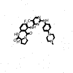 CN1CCN(c2ccc(Nc3ncc(C(F)(F)F)c(Nc4cccc5c4C(=O)N4CCC[C@H]4C(=O)N5)n3)cc2)CC1